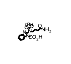 CC(C)(C)OC(=O)N(CCCC(N)=O)c1nc2ccccc2n1C(=O)O